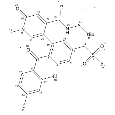 CCS(=O)(=O)Cc1ccc(C(=O)c2ccc(Cl)cc2Cl)c(-c2cn(C)c(=O)cc2[C@H](C)NSC(C)(C)C)c1